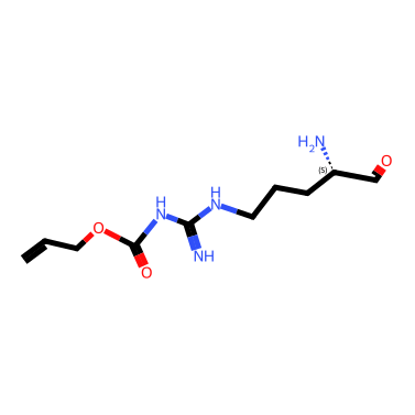 C=CCOC(=O)NC(=N)NCCC[C@H](N)C=O